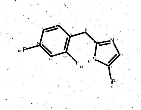 CC(C)c1cnc(Cc2ccc(F)cc2F)s1